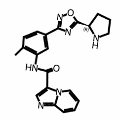 Cc1ccc(-c2noc([C@H]3CCCN3)n2)cc1NC(=O)c1cnc2ccccn12